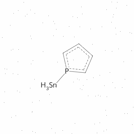 [SnH3][p]1cccc1